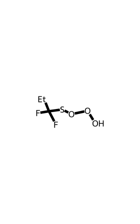 CCC(F)(F)SOOO